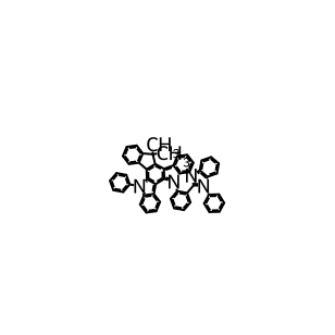 CC1(C)c2ccccc2-c2c1c1c3ccccc3n(-c3ccccc3-c3nc4ccccc4n3-c3ccccc3)c1c1c3ccccc3n(-c3ccccc3)c21